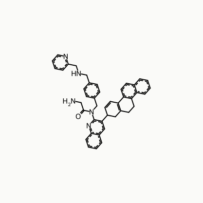 NCC(=O)N(Cc1ccc(CNCc2ccccn2)cc1)c1nc2ccccc2cc1C1C=CC2=C(CCc3c2ccc2ccccc32)C1